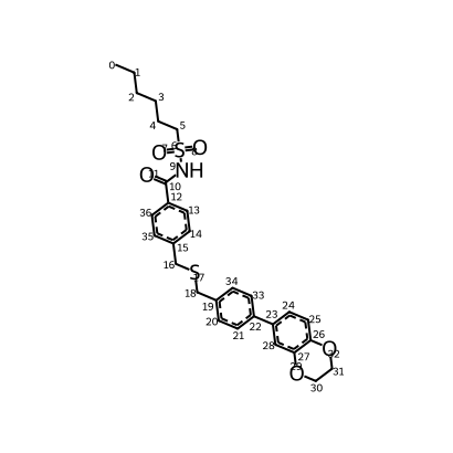 CCCCCCS(=O)(=O)NC(=O)c1ccc(CSCc2ccc(-c3ccc4c(c3)OCCO4)cc2)cc1